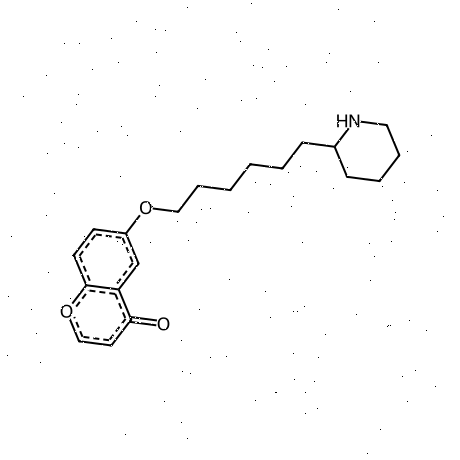 O=c1ccoc2ccc(OCCCCCCC3CCCCN3)cc12